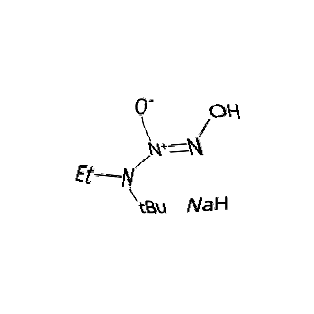 CCN([N+]([O-])=NO)C(C)(C)C.[NaH]